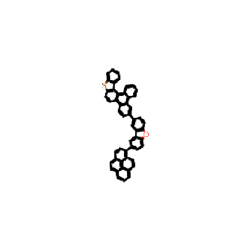 c1cc2ccc3ccc(-c4ccc5oc6ccc(-c7ccc8c(c7)c7ccccc7c7c8ccc8sc9ccccc9c87)cc6c5c4)c4ccc(c1)c2c34